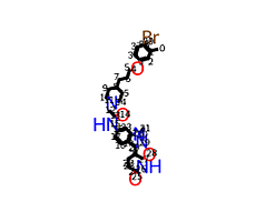 Cc1cc(OCCCC2CCN(CC(=O)Nc3ccc4c(C5CCC(=O)NC5=O)nn(C)c4c3)CC2)ccc1Br